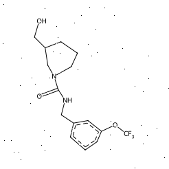 O=C(NCc1cccc(OC(F)(F)F)c1)N1CCCC(CO)C1